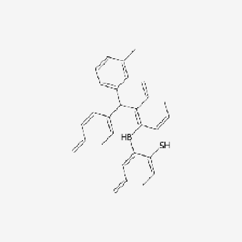 C=C/C=C\C(=C/C)C(/C(C=C)=C(BC(=C/C=C)/C(S)=C\C)/C=C\C)c1cccc(C)c1